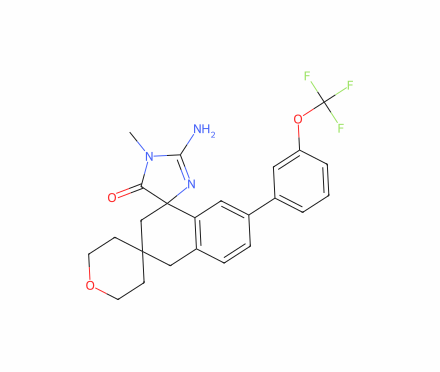 CN1C(=O)C2(CC3(CCOCC3)Cc3ccc(-c4cccc(OC(F)(F)F)c4)cc32)N=C1N